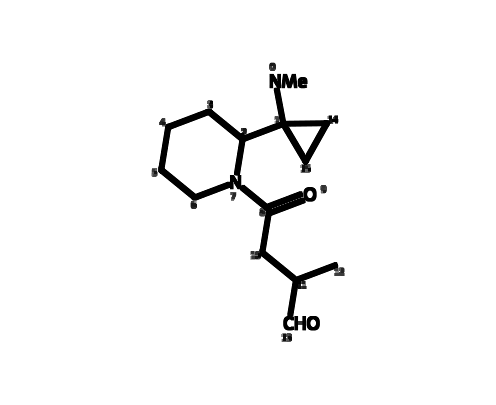 CNC1(C2CCCCN2C(=O)CC(C)C=O)CC1